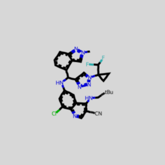 Cn1cc2c(C(Nc3cc(Cl)c4ncc(C#N)c(NCC(C)(C)C)c4c3)c3cn(C4(C(F)F)CC4)nn3)cccc2n1